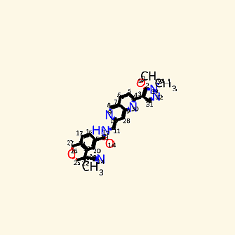 COc1c(-c2ccc3cnc(CNC(=O)c4ccc5c(c4)[C@](C)(C#N)COC5)cc3n2)cnn1C